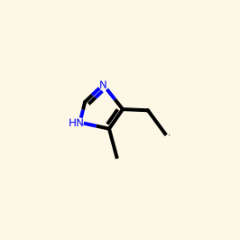 [CH2]Cc1nc[nH]c1C